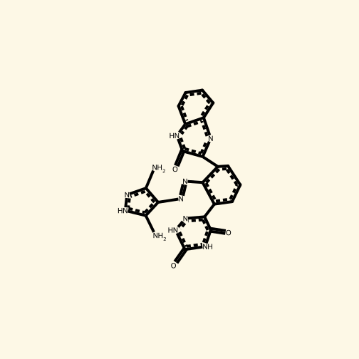 Nc1n[nH]c(N)c1N=Nc1c(-c2n[nH]c(=O)[nH]c2=O)cccc1-c1nc2ccccc2[nH]c1=O